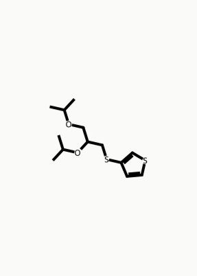 CC(C)OCC(CSc1ccsc1)OC(C)C